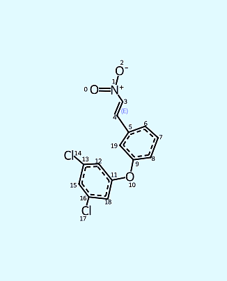 O=[N+]([O-])/C=C/c1cccc(Oc2cc(Cl)cc(Cl)c2)c1